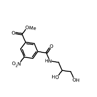 COC(=O)c1cc(C(=O)NCC(O)CO)cc([N+](=O)[O-])c1